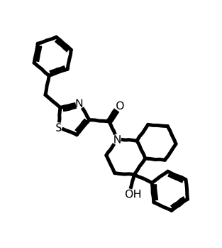 O=C(c1csc(Cc2ccccc2)n1)N1CCC(O)(c2ccccc2)C2CCCCC21